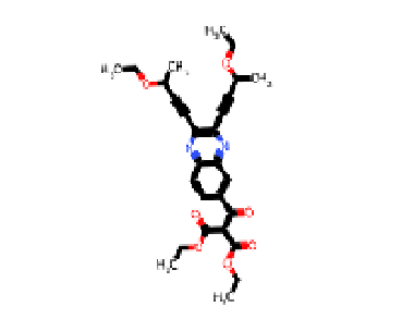 CCOC(=O)C(C(=O)OCC)C(=O)c1ccc2nc(C#CC(C)OCC)c(C#CC(C)OCC)nc2c1